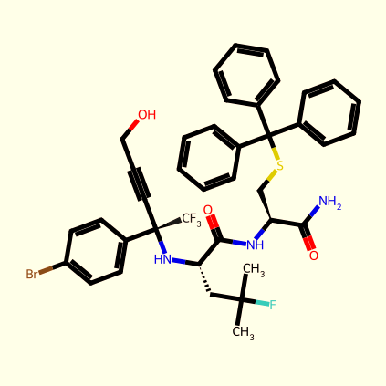 CC(C)(F)C[C@H](N[C@@](C#CCO)(c1ccc(Br)cc1)C(F)(F)F)C(=O)N[C@@H](CSC(c1ccccc1)(c1ccccc1)c1ccccc1)C(N)=O